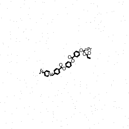 C=CC(=O)OC(CCC)Oc1ccc(C(=O)Oc2ccc(OC(=O)c3ccc(C[n+]4ccc(N(C)C)cc4)cc3)cc2)cc1